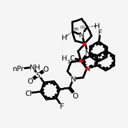 CCCNS(=O)(=O)c1cc(C(=O)N2CCC(CCN3[C@@H]4CC[C@H]3CC(n3c(C)nc5ccccc53)C4)(c3cccc(F)c3)CC2)c(F)cc1Cl